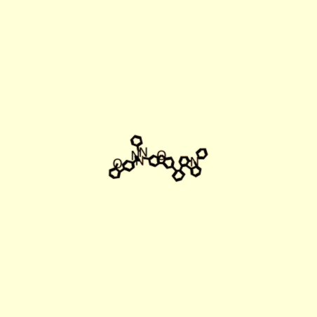 c1ccc(-c2nc(-c3ccc4c(c3)oc3ccccc34)nc(-c3ccc4c(c3)oc3ccc(-c5ccccc5-c5cccc6c5c5ccccc5n6-c5ccccc5)cc34)n2)cc1